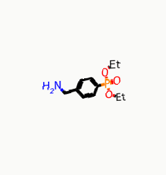 CCOP(=O)(OCC)c1ccc(CN)cc1